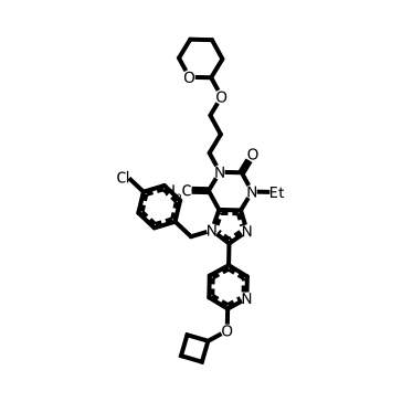 C=C1c2c(nc(-c3ccc(OC4CCC4)nc3)n2Cc2ccc(Cl)cc2)N(CC)C(=O)N1CCCOC1CCCCO1